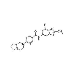 Cc1nc2c(F)cc(NC(=O)c3ccc(N4CCN5CCCC5C4)nc3)cc2o1